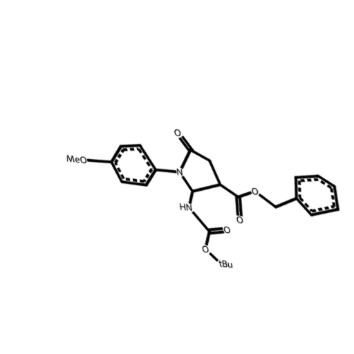 COc1ccc(N2C(=O)CC(C(=O)OCc3ccccc3)C2NC(=O)OC(C)(C)C)cc1